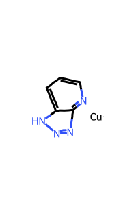 [Cu].c1cnc2nn[nH]c2c1